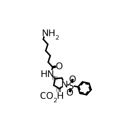 NCCCCCC(=O)N[C@@H]1C[C@@H](C(=O)O)N(S(=O)(=O)c2ccccc2)C1